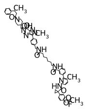 Cc1ccc(NC(=O)C2(c3ccc4c(c3)OC(C)(F)O4)CC2)nc1-c1cccc(C(=O)NCCCCCCC(=O)NCc2ccc(-c3c4ncn(CC5(O)CCN(C(=O)C[C@@H](C)c6ccccc6)CC5)c(=O)c4nn3C)cc2)c1